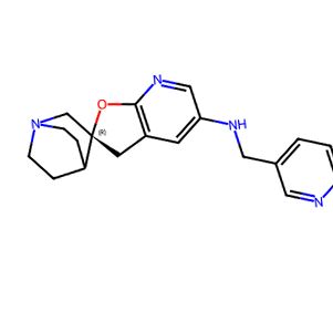 c1cncc(CNc2cnc3c(c2)C[C@@]2(CN4CCC2CC4)O3)c1